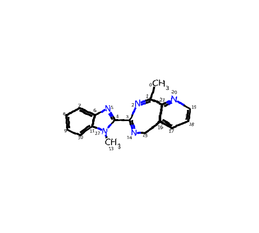 CC1=NC(c2nc3ccccc3n2C)=NCc2cccnc21